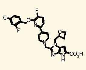 O=C(O)c1cc2c(nc(CN3CC=C(c4ccc(F)c(OCc5ccc(Cl)cc5F)n4)CC3)n2CC2CCO2)[nH]1